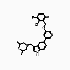 CC1CN(Cc2c[nH]c3ccc(-c4cn[c]c(OCc5c(F)ccc(F)c5Cl)c4)cc23)CC(C)O1